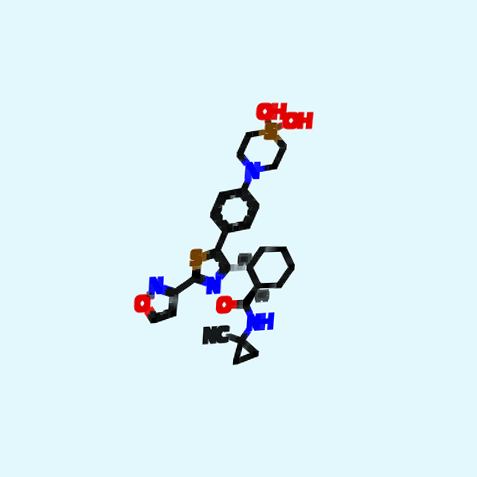 N#CC1(NC(=O)[C@@H]2CCCC[C@H]2c2nc(-c3ccon3)sc2-c2ccc(N3CCS(O)(O)CC3)cc2)CC1